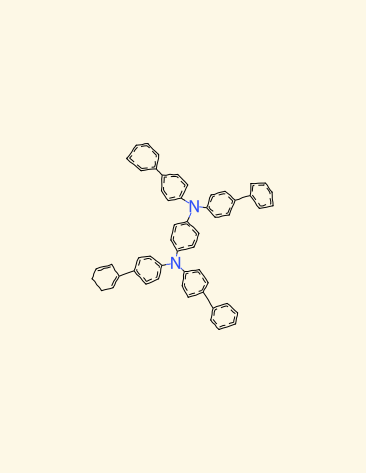 C1=CC(c2ccc(N(c3ccc(-c4ccccc4)cc3)c3ccc(N(c4ccc(-c5ccccc5)cc4)c4ccc(-c5ccccc5)cc4)cc3)cc2)=CCC1